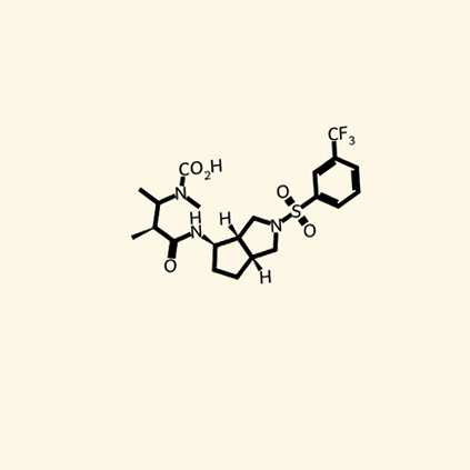 CC([C@H](C)C(=O)N[C@@H]1CC[C@H]2CN(S(=O)(=O)c3cccc(C(F)(F)F)c3)C[C@H]21)N(C)C(=O)O